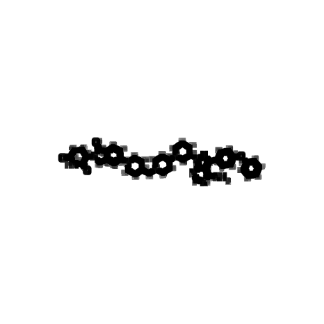 Nc1ncnc2c1c(-c1ccc(Oc3ccccc3)cc1)nn2[C@@H]1CCCN(C2CCN(CC3CCN(c4ccc5c(c4)CN(C4CCC(=O)NC4=O)C5=O)CC3)CC2)C1